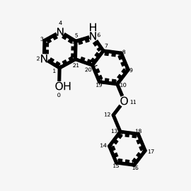 Oc1ncnc2[nH]c3ccc(OCc4ccccc4)cc3c12